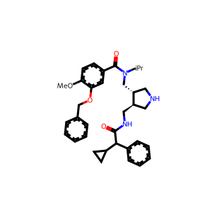 COc1ccc(C(=O)N(C[C@@H]2CNC[C@H]2CNC(=O)C(c2ccccc2)C2CC2)C(C)C)cc1OCc1ccccc1